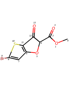 COC(=O)C1Oc2cc(Br)sc2C1=O